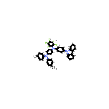 Fc1c(F)c(F)c(N(c2ccc(N(c3ccc(C(F)(F)F)cc3)c3ccc(C(F)(F)F)cc3)cc2)c2ccc(-n3c4ccccc4c4ccccc43)cc2)c(F)c1F